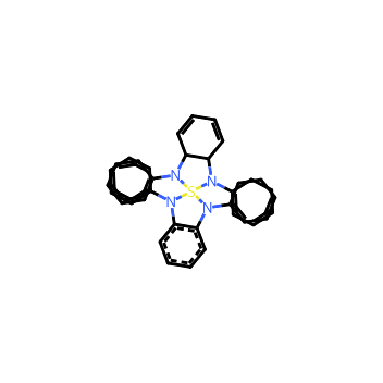 C1=C=C(N2c3ccccc3N(C3=CC=CCC3)S23N(C2=C=C=CC=C2)C2C=CC=CC2N3C2=CC=CCC2)C=CC=1